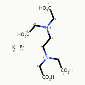 O=C(O)CN(CCN(CC(=O)O)CC(=O)O)CC(=O)O.[K].[K]